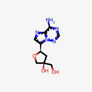 Nc1ncnn2c([C@H]3C[C@](O)(CO)CO3)cnc12